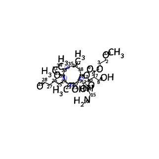 COCCOC(=O)C(CO)C(CO)(OCCN)O/C1=C/C(O)=C(C)\C(CCCC=O)=C(OC)/C(C)=C\C(C)C1